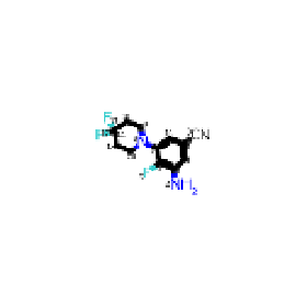 N#Cc1cc(N)c(F)c(N2CCC(F)(F)CC2)c1